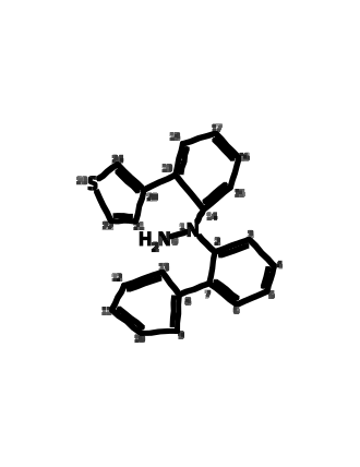 NN(c1ccccc1-c1ccccc1)c1ccccc1-c1ccsc1